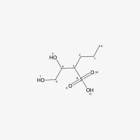 [CH2]CCC(C(O)CO)S(=O)(=O)O